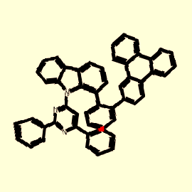 c1ccc(-c2cc(-n3c4ccccc4c4cccc(-c5ccccc5-c5ccc6c7ccccc7c7ccccc7c6c5)c43)nc(-c3ccccc3)n2)cc1